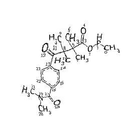 CPOC(=O)C(C)(C)C(C)(C)C(=O)c1ccc(C(=O)N(C)C)cc1